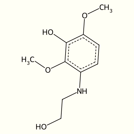 COc1ccc(NCCO)c(OC)c1O